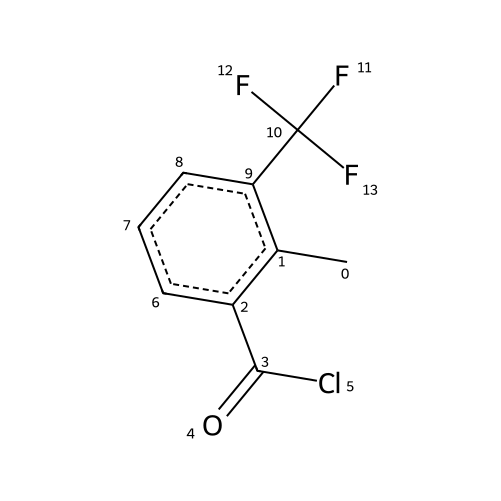 Cc1c(C(=O)Cl)cccc1C(F)(F)F